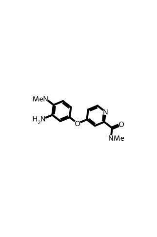 CNC(=O)c1cc(Oc2ccc(NC)c(N)c2)ccn1